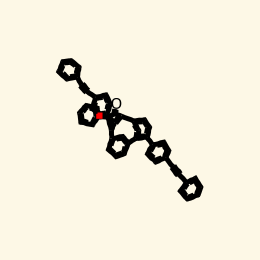 O=C1C2=C(c3ccc(C#Cc4ccccc4)cc3)C(=C1c1ccccc1)c1cccc(c1)-c1cc2ccc1-c1ccc(C#Cc2ccccc2)cc1